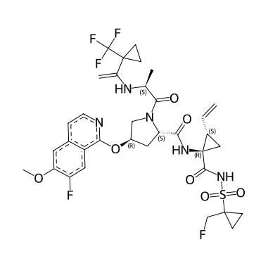 C=C[C@@H]1C[C@]1(NC(=O)[C@@H]1C[C@@H](Oc2nccc3cc(OC)c(F)cc23)CN1C(=O)[C@H](C)NC(=C)C1(C(F)(F)F)CC1)C(=O)NS(=O)(=O)C1(CF)CC1